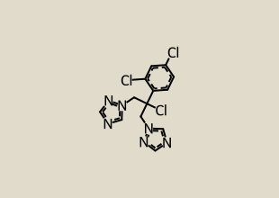 Clc1ccc(C(Cl)(Cn2cncn2)Cn2cncn2)c(Cl)c1